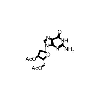 CC(=O)OC[C@H]1O[C@@H](n2cnc3c(=O)[nH]c(N)nc32)CC1OC(C)=O